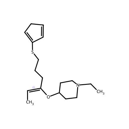 C/C=C(/CCCSC1=CCC=C1)OC1CCN(CC)CC1